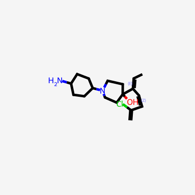 C=C(Cl)/C=C\C(=C/C)C1(O)CCN(C2CCC(N)CC2)CC1